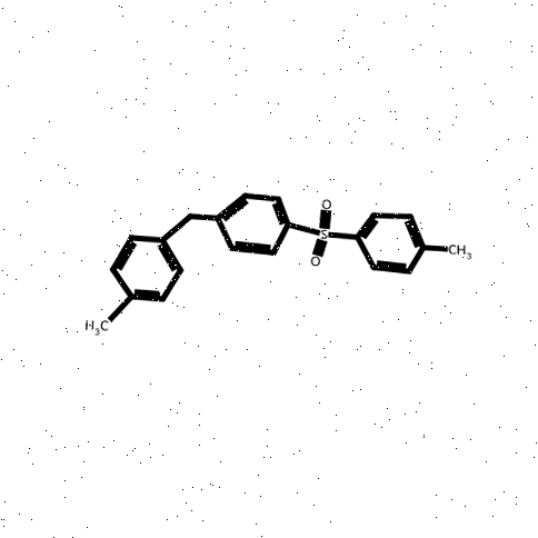 Cc1ccc(Cc2ccc(S(=O)(=O)c3ccc(C)cc3)cc2)cc1